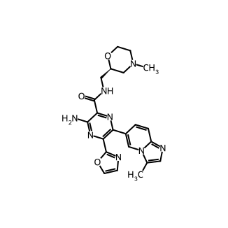 Cc1cnc2ccc(-c3nc(C(=O)NC[C@@H]4CN(C)CCO4)c(N)nc3-c3ncco3)cn12